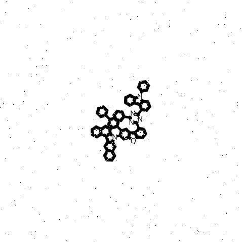 c1ccc(-c2ccc(-c3cc4c(cc3-n3c5cc6ccccc6cc5c5c6ccccc6ccc53)oc3cccc(-c5nc(-c6ccccc6)nc(-c6cccc7c6c6ccccc6n7-c6ccccc6)n5)c34)cc2)cc1